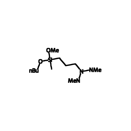 CCCCO[Si](C)(CCCN(NC)NC)OC